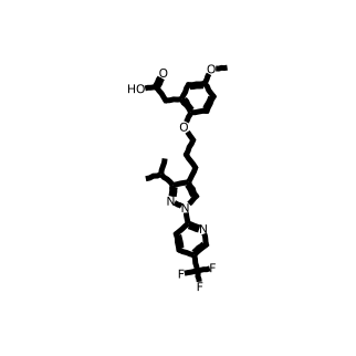 COc1ccc(OCCCc2cn(-c3ccc(C(F)(F)F)cn3)nc2C(C)C)c(CC(=O)O)c1